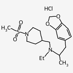 CCN(CC1CCN(S(C)(=O)=O)CC1)C(C)Cc1ccc2c(c1)OCO2.Cl